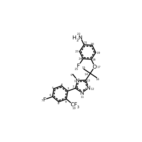 Cn1c(-c2ccc(F)cc2C(F)(F)F)nnc1C(C)(C)Oc1ccc(N)cc1F